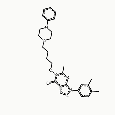 Cc1ccc(-n2ncc3c(=O)n(OCCCCN4CCN(c5ccccc5)CC4)c(C)nc32)cc1C